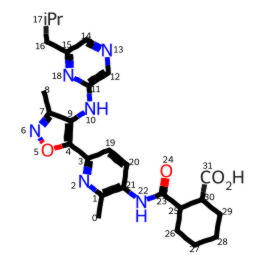 Cc1nc(-c2onc(C)c2Nc2cncc(CC(C)C)n2)ccc1NC(=O)C1CCCCC1C(=O)O